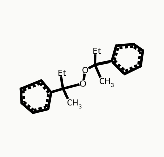 CCC(C)(OOC(C)(CC)c1ccccc1)c1ccccc1